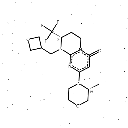 C[C@@H]1COCCN1c1cc(=O)n2c(n1)N(CC1COC1)[C@H](C(F)(F)F)CC2